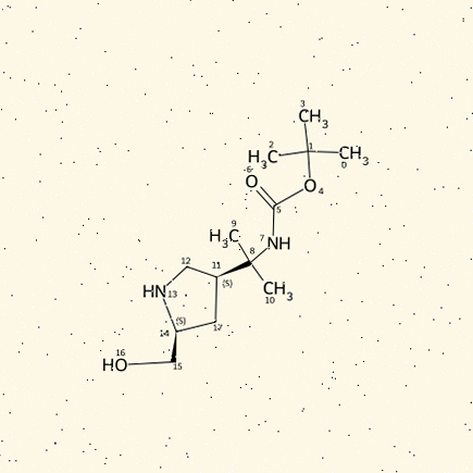 CC(C)(C)OC(=O)NC(C)(C)[C@@H]1CN[C@H](CO)C1